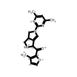 Cc1cc(C)nc(N2C=C3C(CNC3C(=O)c3occc3C)C2)n1